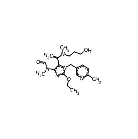 C=C(c1c(N(C)C=O)nc(OCC)n1Cc1ccc(C)nc1)N(C)CCCO